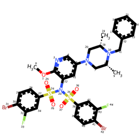 COc1ncc(N2C[C@@H](C)N(Cc3ccccc3)[C@@H](C)C2)cc1N(S(=O)(=O)c1ccc(Br)c(F)c1)S(=O)(=O)c1ccc(Br)c(F)c1